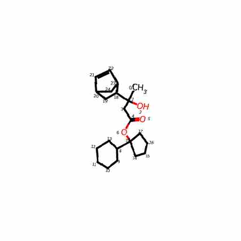 CC(O)(CC(=O)OC1(C2CCCCC2)CCCC1)C1CC2C=CC1C2